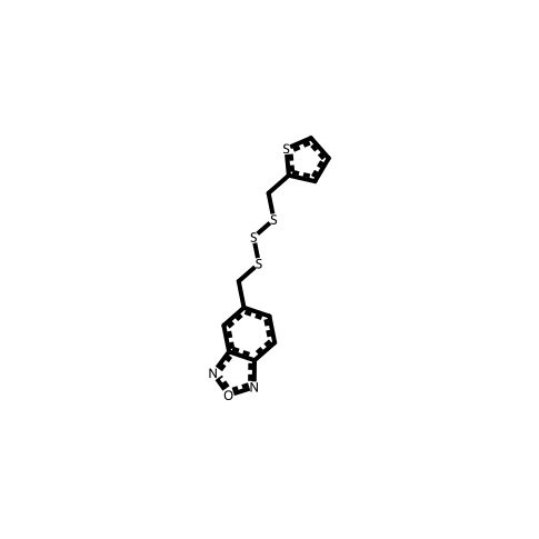 c1csc(CSSSCc2ccc3nonc3c2)c1